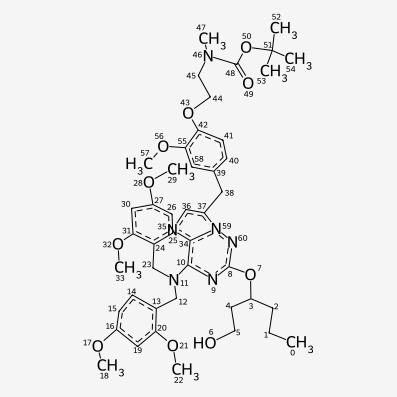 CCCC(CCO)Oc1nc(N(Cc2ccc(OC)cc2OC)Cc2ccc(OC)cc2OC)c2ncc(Cc3ccc(OCCN(C)C(=O)OC(C)(C)C)c(OC)c3)n2n1